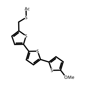 COc1ccc(-c2ccc(-c3ccc(CSC(C)=O)s3)s2)s1